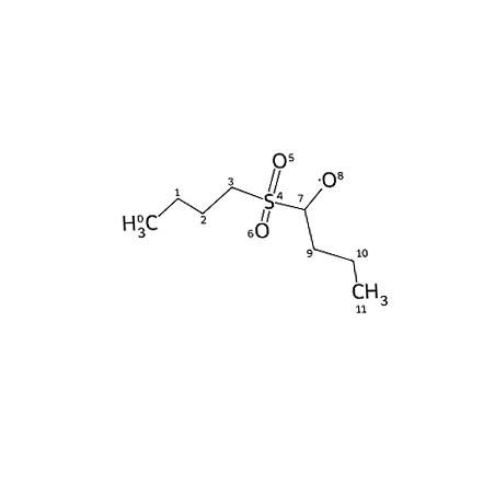 CCCCS(=O)(=O)C([O])CCC